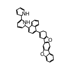 C1=CNC(C2=CC=CC(c3ccc(C4=Cc5c(oc6cc7c(cc56)oc5ccccc57)CC4)c4ccccc34)N2)C=C1